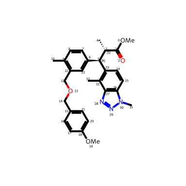 COC(=O)[C@@H](C)[C@H](c1ccc(C)c(COCc2ccc(OC)cc2)c1)c1ccc2c(nnn2C)c1C